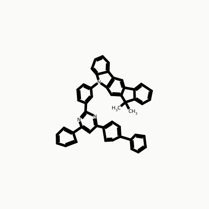 CC1(C)c2ccccc2-c2cc3c4ccccc4n(-c4cccc(-c5nc(-c6ccccc6)cc(-c6ccc(-c7ccccc7)cc6)n5)c4)c3cc21